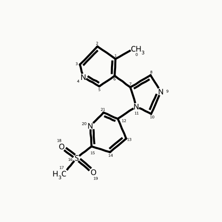 Cc1ccncc1-c1cncn1-c1ccc(S(C)(=O)=O)nc1